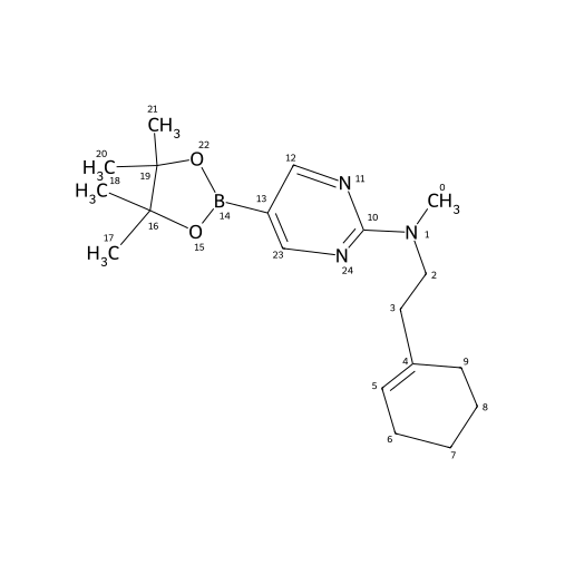 CN(CCC1=CCCCC1)c1ncc(B2OC(C)(C)C(C)(C)O2)cn1